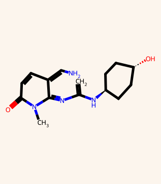 C=C(/N=C1\C(=C/N)C=CC(=O)N1C)N[C@H]1CC[C@H](O)CC1